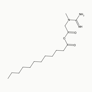 CCCCCCCCCCCC(=O)OC(=O)CN(C)C(=N)N